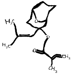 C=C(C)C(=O)OC1(C=C(C)C)CC2CCC1O2